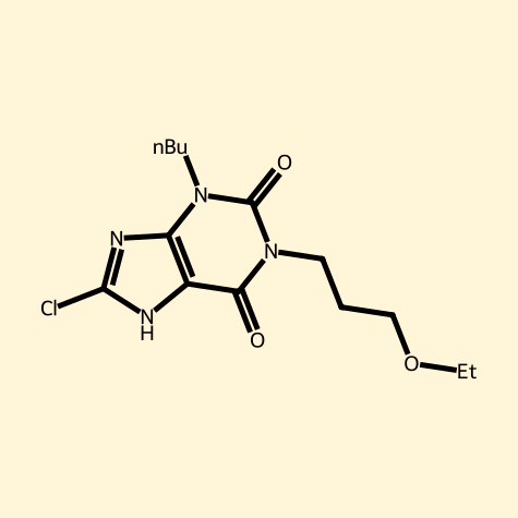 CCCCn1c(=O)n(CCCOCC)c(=O)c2[nH]c(Cl)nc21